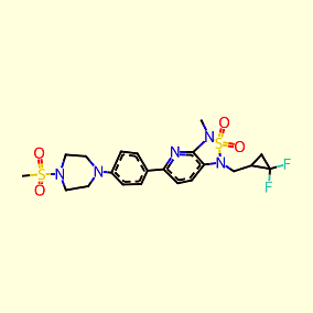 CN1c2nc(-c3ccc(N4CCN(S(C)(=O)=O)CC4)cc3)ccc2N(CC2CC2(F)F)S1(=O)=O